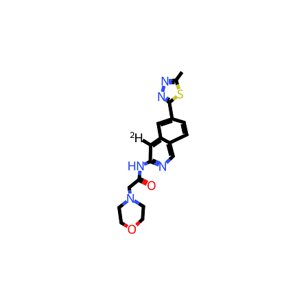 [2H]c1c(NC(=O)CN2CCOCC2)ncc2ccc(-c3nnc(C)s3)cc12